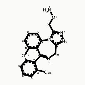 NOCc1nnc2n1-c1cccc(Cl)c1C(c1ccccc1Cl)=NC2